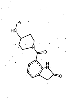 CC(C)NC1CCN(C(=O)c2cccc3c2NC(=O)C3)CC1